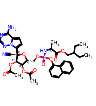 CCC(CC)COC(=O)[C@H](C)NP(=O)(OC[C@H]1O[C@@](C#N)(c2ccc3c(N)ncnn23)[C@H](OC(C)=O)[C@@H]1OC(C)=O)Oc1cccc2ccccc12